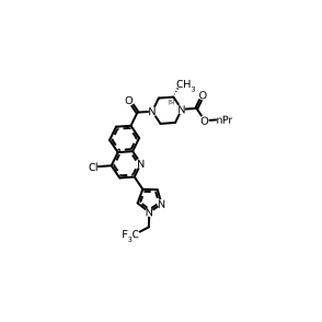 CCCOC(=O)N1CCN(C(=O)c2ccc3c(Cl)cc(-c4cnn(CC(F)(F)F)c4)nc3c2)C[C@@H]1C